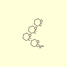 [CH-]1CCCCO1.[CH-]1CCCCO1.[CH-]1CCCCO1.[CH-]1CCCCO1.[Ti+4]